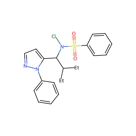 CCC(CC)C(c1ccnn1-c1ccccc1)N(Cl)S(=O)(=O)c1ccccc1